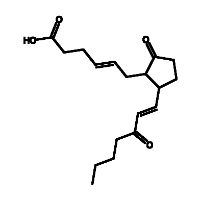 CCCCC(=O)C=CC1CCC(=O)C1CC=CCCC(=O)O